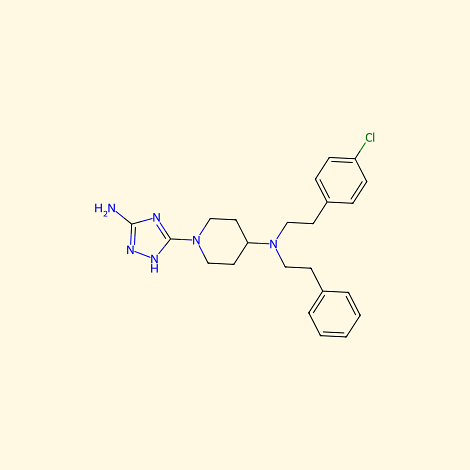 Nc1n[nH]c(N2CCC(N(CCc3ccccc3)CCc3ccc(Cl)cc3)CC2)n1